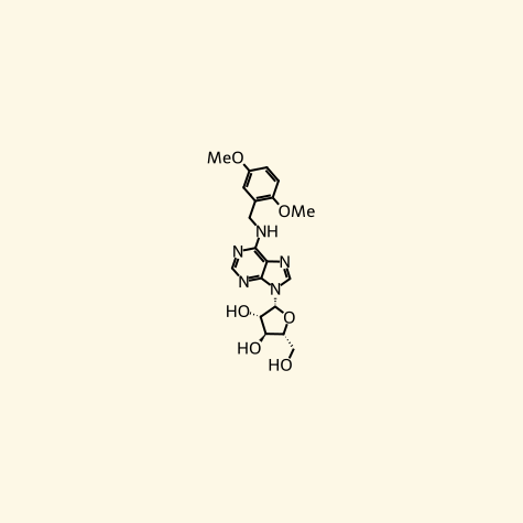 COc1ccc(OC)c(CNc2ncnc3c2ncn3[C@@H]2O[C@H](CO)[C@@H](O)[C@@H]2O)c1